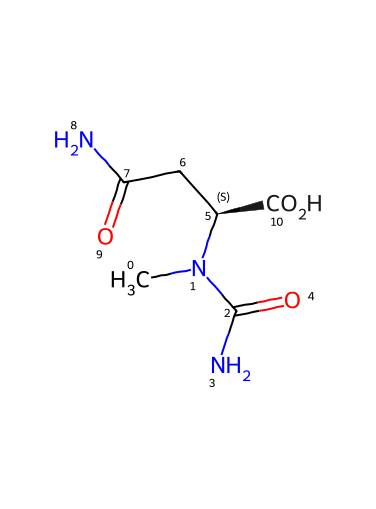 CN(C(N)=O)[C@@H](CC(N)=O)C(=O)O